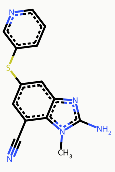 Cn1c(N)nc2cc(Sc3cccnc3)cc(C#N)c21